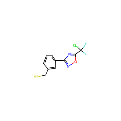 FC(F)(Cl)c1nc(-c2cccc(CS)c2)no1